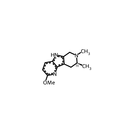 COc1ccc2[nH]c3c(c2n1)C[C@H](C)N(C)C3